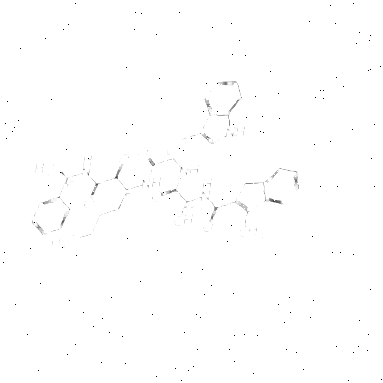 CCCC[C@H](NC(=O)[C@H](Cc1c[nH]c2ccccc12)NC(=O)[C@H](C)NC(=O)C1=C(C)c2ccccc2C1)C(=O)C(=O)N[C@H](C)c1ccccc1